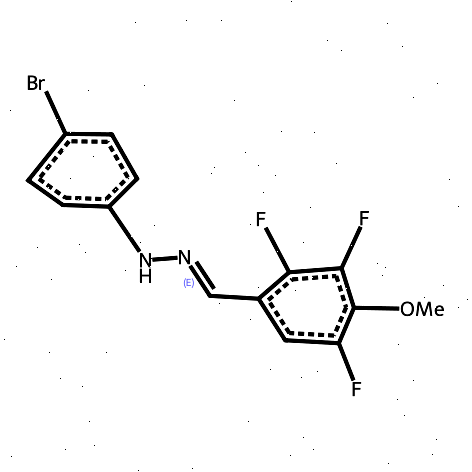 COc1c(F)cc(/C=N/Nc2ccc(Br)cc2)c(F)c1F